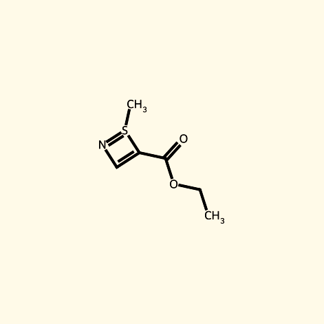 CCOC(=O)C1=CN=S1C